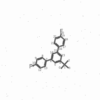 CC(C)(C)c1cc(-c2ccc(F)cc2)cc(-c2ccc(F)cc2)c1